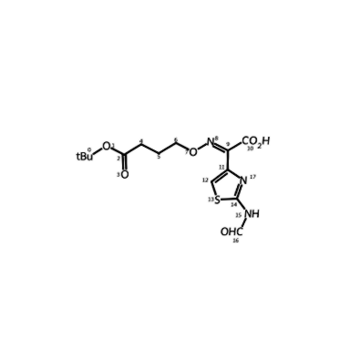 CC(C)(C)OC(=O)CCCO/N=C(/C(=O)O)c1csc(NC=O)n1